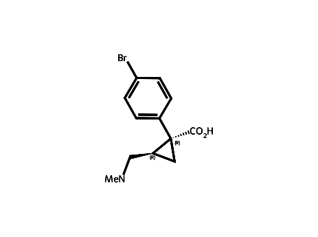 CNC[C@@H]1C[C@]1(C(=O)O)c1ccc(Br)cc1